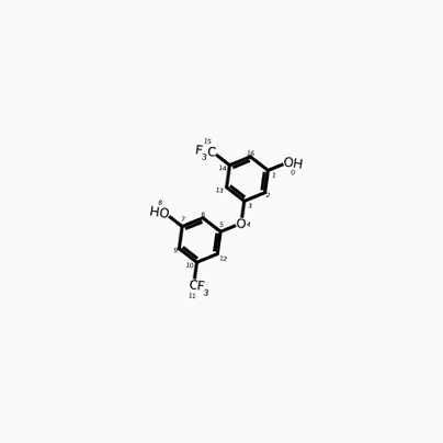 Oc1cc(Oc2cc(O)cc(C(F)(F)F)c2)cc(C(F)(F)F)c1